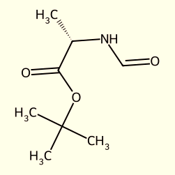 C[C@H](NC=O)C(=O)OC(C)(C)C